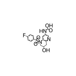 O=C(O)Nc1cnc2c(c1)N(S(=O)(=O)c1ccc(F)cc1)CC(O)C2